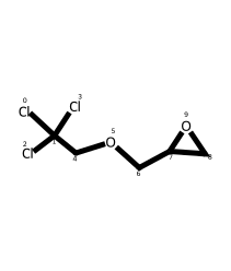 ClC(Cl)(Cl)COCC1CO1